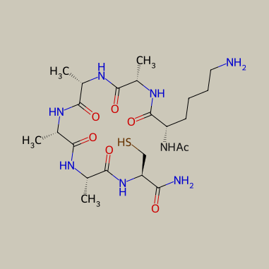 CC(=O)N[C@@H](CCCCN)C(=O)N[C@@H](C)C(=O)N[C@@H](C)C(=O)N[C@@H](C)C(=O)N[C@@H](C)C(=O)N[C@@H](CS)C(N)=O